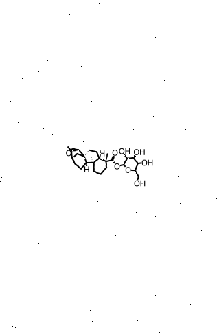 CC1C2COC13CC[C@@H]1[C@@]2(CC[C@H]2[C@@]1(C)CCC[C@@]2(C)C(=O)OC1OC(CO)C(O)C(O)C1O)C3